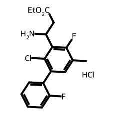 CCOC(=O)CC(N)c1c(F)c(C)cc(-c2ccccc2F)c1Cl.Cl